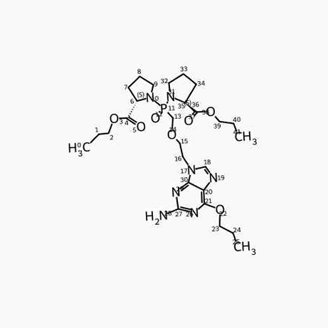 CCCOC(=O)[C@@H]1CCCN1P(=O)(COCCn1cnc2c(OCCC)nc(N)nc21)N1CCC[C@H]1C(=O)OCCC